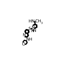 CC(=N)c1ccc2nnc(Sc3ccc4ncc(NC5CCOCC5)cc4c3)n2c1